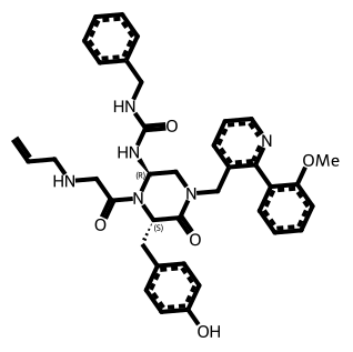 C=CCNCC(=O)N1[C@@H](NC(=O)NCc2ccccc2)CN(Cc2cccnc2-c2ccccc2OC)C(=O)[C@@H]1Cc1ccc(O)cc1